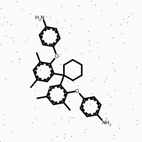 Cc1cc(C)c(Oc2ccc(N)cc2)c(C2(c3cc(C)cc(C)c3Oc3ccc(N)cc3)CCCCC2)c1